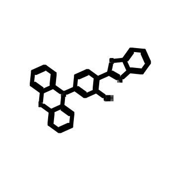 Oc1cc(N2c3ccccc3Sc3ccccc32)ccc1-c1nc2ccccc2s1